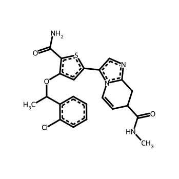 CNC(=O)C1C=Cn2c(-c3cc(OC(C)c4ccccc4Cl)c(C(N)=O)s3)cnc2C1